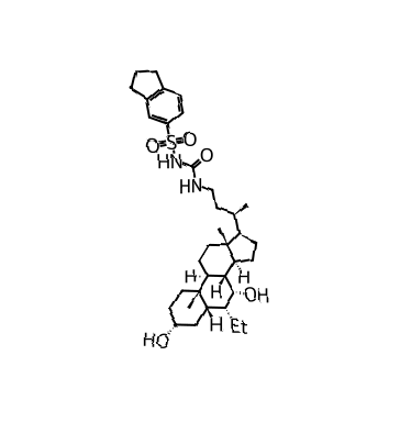 CC[C@H]1[C@@H](O)[C@@H]2[C@H](CC[C@]3(C)[C@@H]([C@H](C)CCNC(=O)NS(=O)(=O)c4ccc5c(c4)CCC5)CC[C@@H]23)[C@@]2(C)CC[C@@H](O)C[C@@H]12